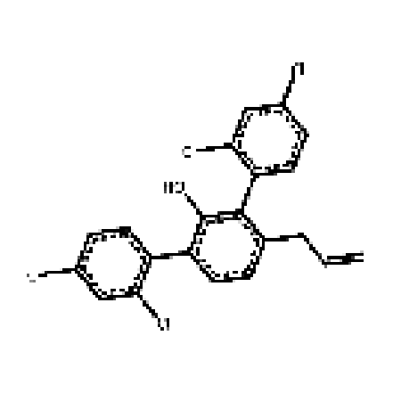 C=CCc1ccc(-c2ccc(Cl)cc2Cl)c(O)c1-c1ccc(Cl)cc1Cl